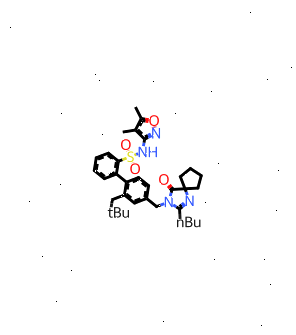 CCCCC1=NC2(CCCC2)C(=O)N1Cc1ccc(-c2ccccc2S(=O)(=O)Nc2noc(C)c2C)c(CC(C)(C)C)c1